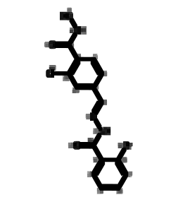 O=C(NO)c1ccc(C=NNC(=O)c2ccccc2Br)cc1Cl